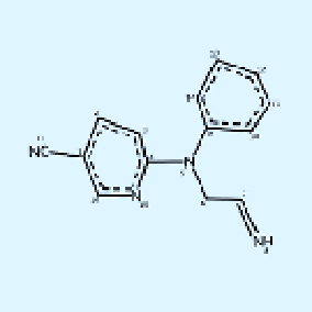 N#Cc1ccc(N(CC=N)c2ccccc2)nc1